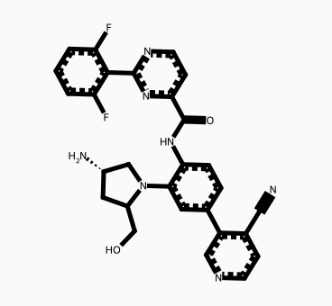 N#Cc1ccncc1-c1ccc(NC(=O)c2ccnc(-c3c(F)cccc3F)n2)c(N2C[C@@H](N)CC2CO)c1